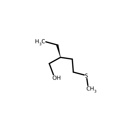 CC[C@H](CO)CCSC